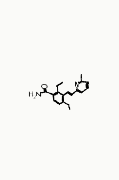 CCc1ccc(C(N)=O)c(CC)c1C=Cc1cccc(C)n1